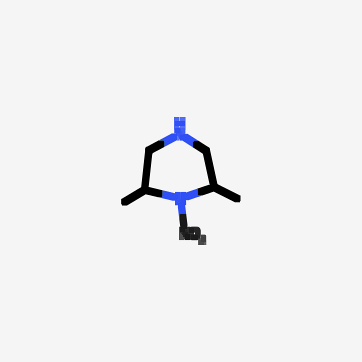 CC1CNCC(C)N1[N+](=O)[O-]